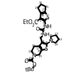 CCOC(=O)c1c(NC(=O)NCc2c(N3CCCC3)sc3c2CCN(C(=O)OC(C)(C)C)C3)sc2c1CCC2